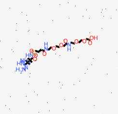 CC(C)(C(=O)NS(=O)(=O)CCCC(=O)NCCOCCOCC(=O)NCCOCCOCC(=O)O)C(C)(C)/C(=N/N)NN